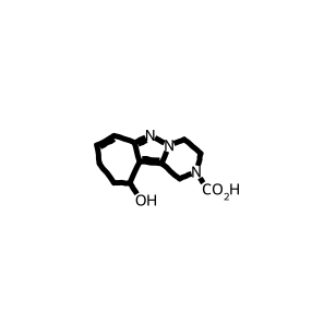 O=C(O)N1CCn2nc3c(c2C1)C(O)CCC=C3